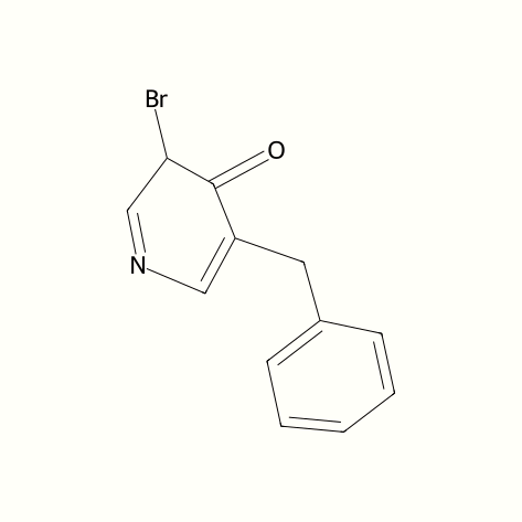 O=C1C(Cc2ccccc2)=CN=CC1Br